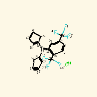 Cl.FC(F)(F)c1ccc(C(F)(F)F)[c]([Ti]([C]2=CC=CC2)[C]2=CC=CC2)c1